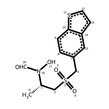 C[C@@H](CS(=O)(=O)Cc1ccc2sccc2c1)N(O)C=O